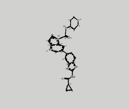 O=C(Nc1nc2ccc(-c3cnc4ccn(C(=O)OC5CCOCC5)c4c3)cc2s1)C1CC1